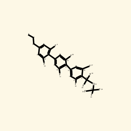 CCCc1cc(F)c(-c2cc(F)c(-c3cc(F)c(C(F)(F)OC(F)(F)F)c(F)c3)c(F)c2)c(F)c1